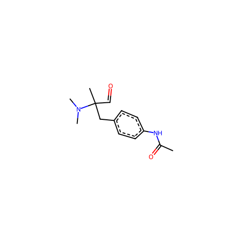 CC(=O)Nc1ccc(CC(C)(C=O)N(C)C)cc1